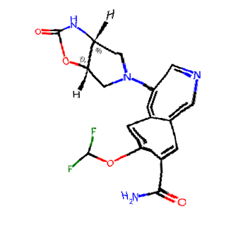 NC(=O)c1cc2cncc(N3C[C@@H]4OC(=O)N[C@@H]4C3)c2cc1OC(F)F